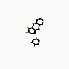 Nc1ccc(Nc2cc(Br)c(N)c3c2C(=O)c2ccccc2C3=O)cc1